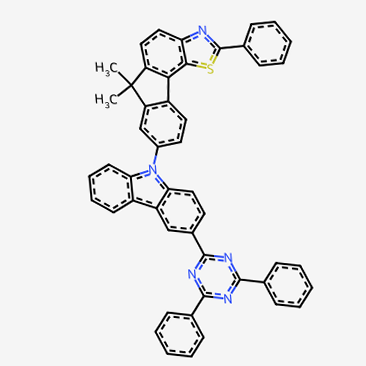 CC1(C)c2cc(-n3c4ccccc4c4cc(-c5nc(-c6ccccc6)nc(-c6ccccc6)n5)ccc43)ccc2-c2c1ccc1nc(-c3ccccc3)sc21